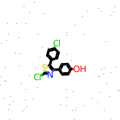 Oc1ccc(-c2nc(Cl)sc2-c2ccc(Cl)cc2)cc1